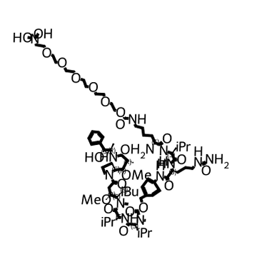 CC[C@H](C)[C@@H]([C@@H](CC(=O)N1CCC[C@H]1[C@H](OC)[C@@H](C)C(=O)N[C@H](C)[C@@H](O)c1ccccc1)OC)N(C)C(=O)[C@@H](NC(=O)[C@H](C(C)C)N(C)C(=O)OCc1ccc(NC(=O)[C@H](CCCNC(N)=O)NC(=O)[C@@H](NC(=O)[C@@H](N)CCCCNC(=O)OCCOCCOCCOCCOCCOCCN(O)O)C(C)C)cc1)C(C)C